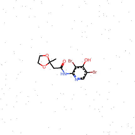 CC1(CC(=O)Nc2ncc(Br)c(O)c2Br)OCCO1